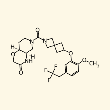 COc1ccc(CC(F)(F)F)cc1OC1CC2(C1)CN(C(=O)N1CC[C@@H]3OCC(=O)N[C@@H]3C1)C2